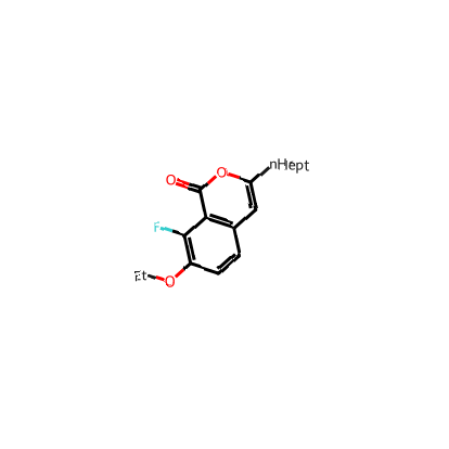 CCCCCCCc1cc2ccc(OCC)c(F)c2c(=O)o1